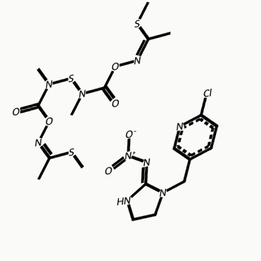 CS/C(C)=N\OC(=O)N(C)SN(C)C(=O)O/N=C(/C)SC.O=[N+]([O-])/N=C1\NCCN1Cc1ccc(Cl)nc1